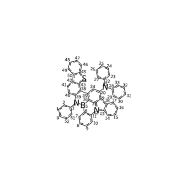 c1ccc(N2B3c4ccccc4-n4c5ccccc5c5c(N(c6ccccc6)c6ccccc6)cc(c3c54)-c3c2ccc2c3sc3ccccc32)cc1